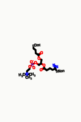 CCCCCCCCCCCCCC(=O)OCC(COP(=O)([O-])OCC[N+](C)(C)C)OC(=O)CCCC1(CCCCCCCCC)N=N1